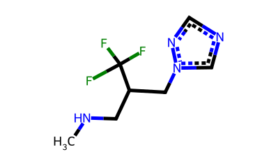 CNCC(Cn1cncn1)C(F)(F)F